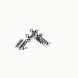 O.O.O.O.O.O.O.O.O.O.O=[N+]([O-])[O-].O=[N+]([O-])[O-].O=[N+]([O-])[O-].[Ca+2].[K+]